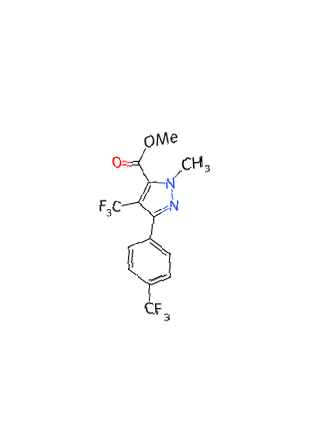 COC(=O)c1c(C(F)(F)F)c(-c2ccc(C(F)(F)F)cc2)nn1C